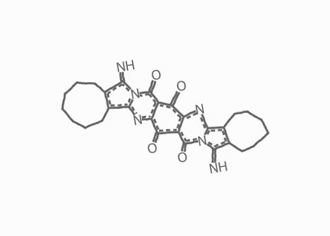 N=c1c2c(c3nc4c(=O)c5c(=O)n6c(=N)c7c(c6nc5c(=O)c4c(=O)n13)CCCCCC7)CCCCCCC2